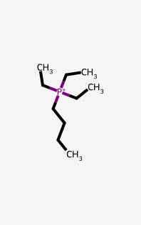 CCCC[P+](CC)(CC)CC